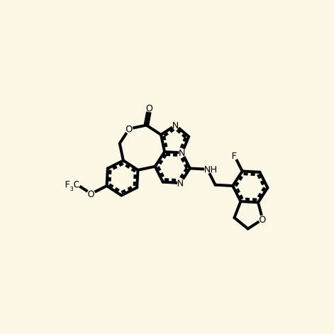 O=C1OCc2cc(OC(F)(F)F)ccc2-c2cnc(NCc3c(F)ccc4c3CCO4)n3cnc1c23